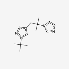 CC(C)(C)n1cc(CC(C)(C)n2ccnc2)cn1